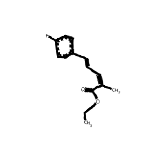 CCOC(=O)C(C)=CC=Cc1ccc(F)cc1